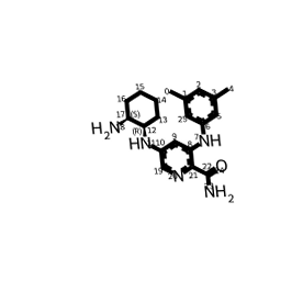 Cc1cc(C)cc(Nc2cc(N[C@@H]3CCCC[C@@H]3N)cnc2C(N)=O)c1